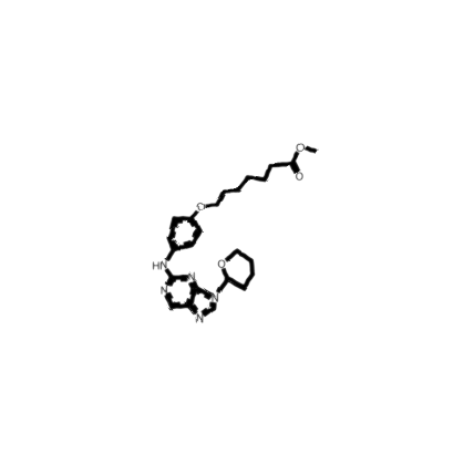 COC(=O)CCCCCCOc1ccc(Nc2ncc3ncn(C4CCCCO4)c3n2)cc1